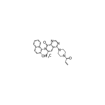 C=CC(=O)N1CCN(c2ncnc3c(=O)n(-c4c(O)ccc5ccccc45)c(C(F)(F)F)cc23)CC1